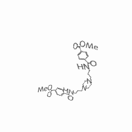 COC(=O)c1ccc(C(=O)NCCCN2CCN(CCCNC(=O)c3ccc(C(=O)OC)cc3)CC2)cc1